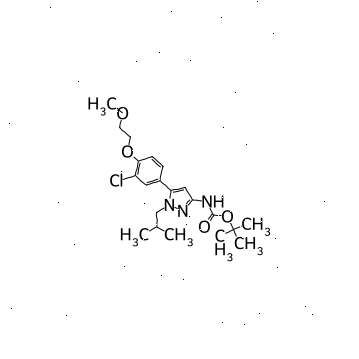 COCCOc1ccc(-c2cc(NC(=O)OC(C)(C)C)nn2CC(C)C)cc1Cl